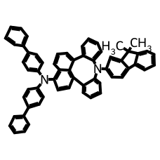 CC1(C)c2ccccc2-c2ccc(N3c4ccccc4-c4cccc5c(N(c6ccc(-c7ccccc7)cc6)c6ccc(-c7ccccc7)cc6)ccc(c45)-c4ccccc43)cc21